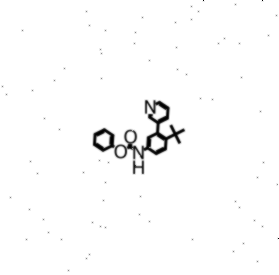 CC(C)(C)c1ccc(NC(=O)Oc2ccccc2)cc1-c1cccnc1